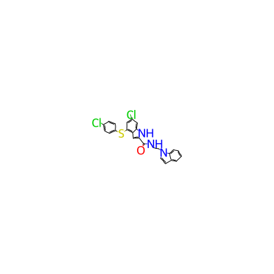 O=C(NCCn1ccc2ccccc21)c1cc2c(Sc3ccc(Cl)cc3)cc(Cl)cc2[nH]1